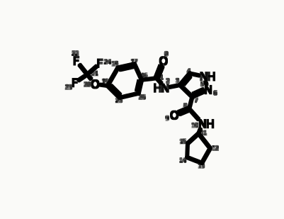 O=C(Nc1c[nH]nc1C(=O)NC1CCCC1)c1ccc(OC(F)(F)F)cc1